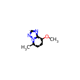 COc1ccc(C)n2n[c]nc12